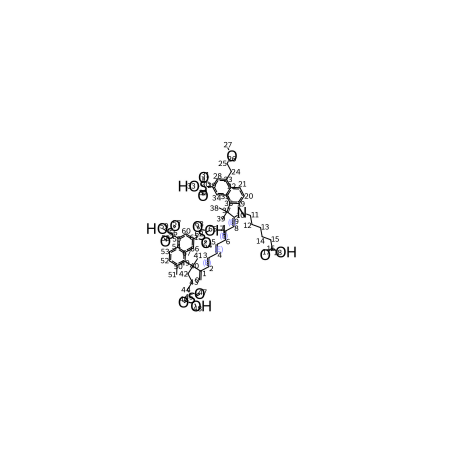 C=C(/C=C/C=C/C=C/C=C1/N(CCCCCC(=O)O)c2ccc3c(CCOC)cc(S(=O)(=O)O)cc3c2C1(C)C)C(C)(CCCS(=O)(=O)O)c1c(C)ccc2c(S(=O)(=O)O)cc(S(=O)(=O)O)cc12